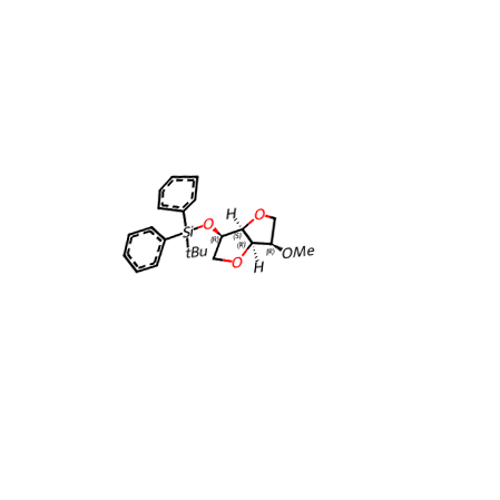 CO[C@@H]1CO[C@H]2[C@@H]1OC[C@H]2O[Si](c1ccccc1)(c1ccccc1)C(C)(C)C